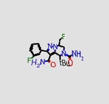 CC(C)(C)C1c2c(C(N)=O)c(-c3cccc(F)c3)nn2C(CF)CN1C(N)=O